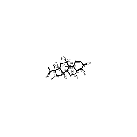 CC(=O)[C@@]1(O)[C@H](C)C[C@H]2[C@@H]3C[C@H](F)C4=C(Cl)C(=O)C=C[C@]4(C)[C@@]3(Cl)[C@@](O)(Cl)C[C@@]21C